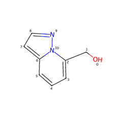 OCc1cccc2ccnn12